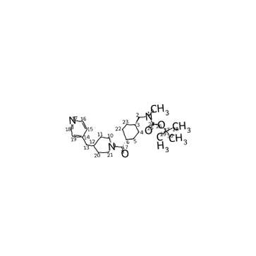 CN(C[C@H]1CC[C@H](C(=O)N2CCC(Cc3ccncc3)CC2)CC1)C(=O)OC(C)(C)C